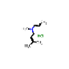 C=CCN(C)CC=C(C)C.Cl